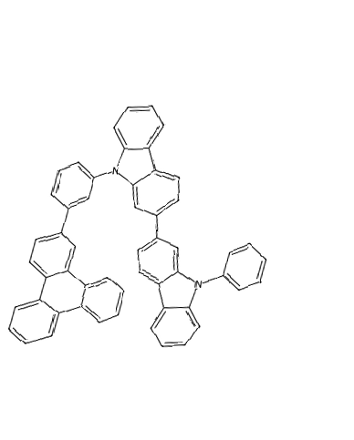 c1ccc(-n2c3ccccc3c3ccc(-c4ccc5c6ccccc6n(-c6cccc(-c7ccc8c9ccccc9c9ccccc9c8c7)c6)c5c4)cc32)cc1